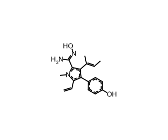 C=Cc1c(-c2ccc(O)cc2)c(C(C)=CC)c(C(N)=NO)n1C